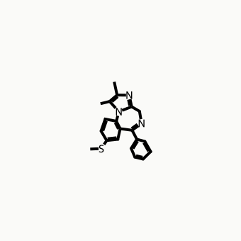 CSc1ccc2c(c1)C(c1ccccc1)=NCc1nc(C)c(C)n1-2